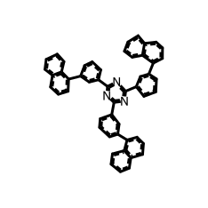 c1cc(-c2nc(-c3cccc(-c4cccc5ccccc45)c3)nc(-c3cccc(-c4cccc5ccccc45)c3)n2)cc(-c2cccc3ccccc23)c1